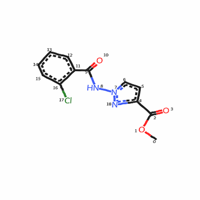 COC(=O)c1ccn(NC(=O)c2ccccc2Cl)n1